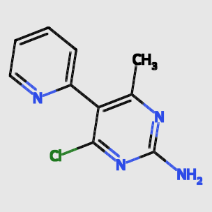 Cc1nc(N)nc(Cl)c1-c1ccccn1